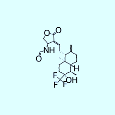 C=C1CC[C@@H]2[C@@H](C)[C@@](O)(C(F)(F)F)CC[C@@]2(C)[C@@H]1C/C=C1/C(=O)OC[C@@H]1NC=O